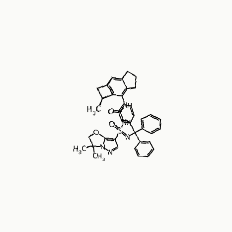 CC1Cc2cc3c(c(NC(=O)NS(=O)(=NC(c4ccccc4)(c4ccccc4)c4ccccc4)c4cnn5c4OCC5(C)C)c21)CCC3